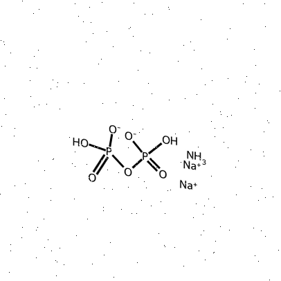 N.O=P([O-])(O)OP(=O)([O-])O.[Na+].[Na+]